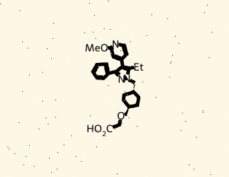 CCc1c(-c2ccnc(OC)c2)c(-c2ccccc2)nn1C[C@H]1CC[C@H](COCC(=O)O)CC1